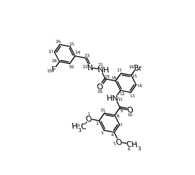 COc1cc(OC)cc(C(=O)Nc2ccc(Br)cc2C(=O)N/N=C/c2cccc(F)c2)c1